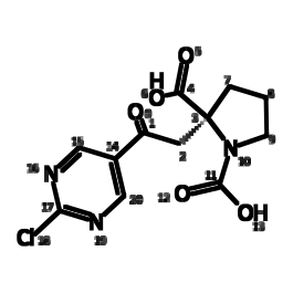 O=C(C[C@]1(C(=O)O)CCCN1C(=O)O)c1cnc(Cl)nc1